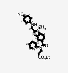 CCOC(=O)CCN(C(=O)c1ccc2c(c1)nc(CNc1ccc(C#N)cc1)n2C)c1ccccn1